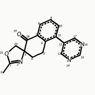 CC1=NC2(CCc3c(cccc3-c3cncnc3)C2=O)CO1